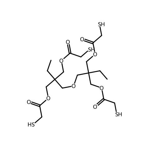 CCC(COCC(CC)(COC(=O)CS)COC(=O)CS)(COC(=O)CS)COC(=O)CS